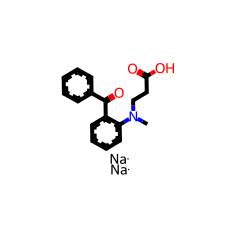 CN(CCC(=O)O)c1ccccc1C(=O)c1ccccc1.[Na].[Na]